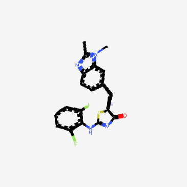 Cc1nc2ccc(/C=C3\SC(Nc4c(F)cccc4F)=NC3=O)cc2n1C